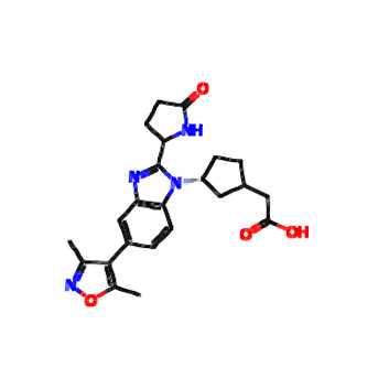 Cc1noc(C)c1-c1ccc2c(c1)nc(C1CCC(=O)N1)n2[C@@H]1CCC(CC(=O)O)C1